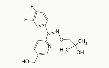 CC(C)(O)CON=C(c1ccc(F)c(F)c1)c1ccc(CO)cn1